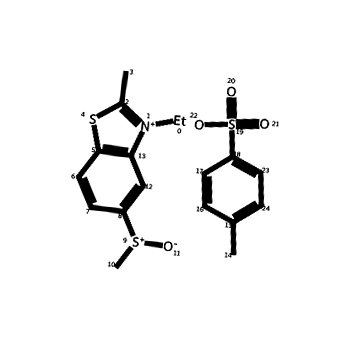 CC[n+]1c(C)sc2ccc([S+](C)[O-])cc21.Cc1ccc(S(=O)(=O)[O-])cc1